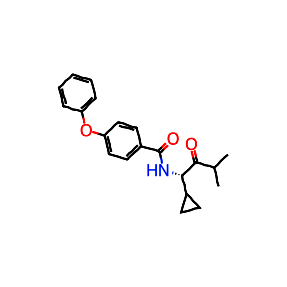 CC(C)C(=O)[C@@H](NC(=O)c1ccc(Oc2ccccc2)cc1)C1CC1